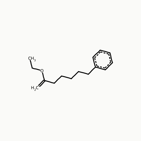 C=C(CCCCCc1ccccc1)OCC